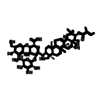 C/C=C(\C)C(=O)O[C@H]1[C@H](O)[C@]2(CO)[C@H](C)C[C@]3(C)C(=CCC4[C@@]5(C)CC[C@H](O[C@@H]6O[C@H](C(=O)O)[C@@H](O[C@@H]7O[C@H](CO)[C@@H](O)[C@H](O)[C@H]7O)[C@H](O)[C@H]6O[C@@H]6O[C@H](CO)[C@@H](O)[C@H](O)[C@H]6O)[C@](C)(CO)C5CC[C@]43C)[C@@H]2CC1(C)C